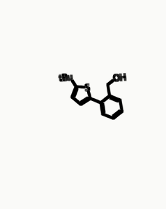 CC(C)(C)c1ccc(-c2ccccc2CO)s1